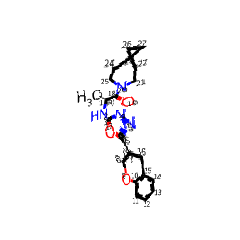 C[C@@H](Nc1nnc([C@@H]2COc3ccccc3C2)o1)C(=O)N1CCC2(CC1)CC2